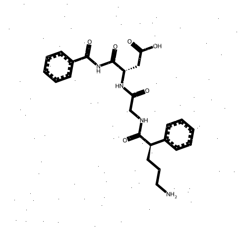 NCCC[C@@H](C(=O)NCC(=O)N[C@@H](CC(=O)O)C(=O)NC(=O)c1ccccc1)c1ccccc1